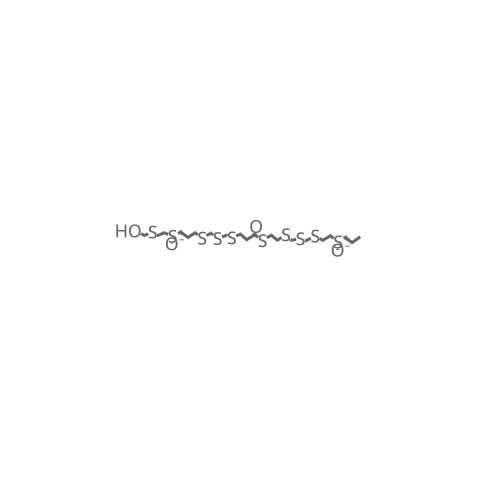 CCC[S+]([O-])CCSCSCSCCSC(=O)CCSCSCSCCC[S+]([O-])CCSCO